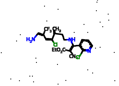 C=C(CCN/C(=C(/C#N)C(=O)OCC)c1cccnc1Cl)/C(Cl)=C\C(=C/N)C(F)(F)F